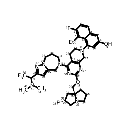 CCc1c(F)ccc2cc(O)cc(N3CCc4c(nc(OC[C@@]56CCCN5C[C@H](F)C6)nc4N4CCCn5nc(C(N(C)C)C(F)(F)F)cc5C4)C3)c12